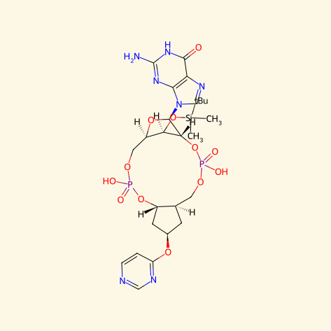 CC(C)(C)[Si](C)(C)O[C@H]1[C@H]2OP(=O)(O)OC[C@H]3C[C@@H](Oc4ccncn4)C[C@@H]3OP(=O)(O)OC[C@H]1O[C@H]2n1cnc2c(=O)[nH]c(N)nc21